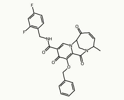 CC1C=CC(=O)C2CN1C(=O)c1c(OCc3ccccc3)c(=O)c(C(=O)NCc3ccc(F)cc3F)cn12